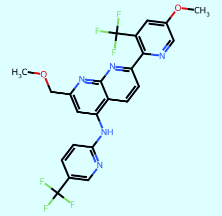 COCc1cc(Nc2ccc(C(F)(F)F)cn2)c2ccc(-c3ncc(OC)cc3C(F)(F)F)nc2n1